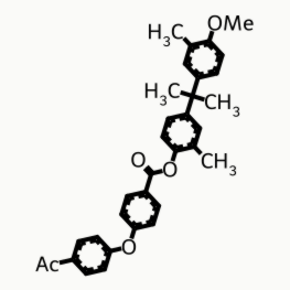 COc1ccc(C(C)(C)c2ccc(OC(=O)c3ccc(Oc4ccc(C(C)=O)cc4)cc3)c(C)c2)cc1C